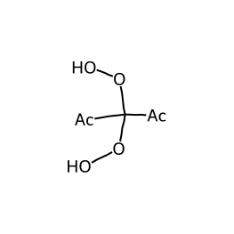 CC(=O)C(OO)(OO)C(C)=O